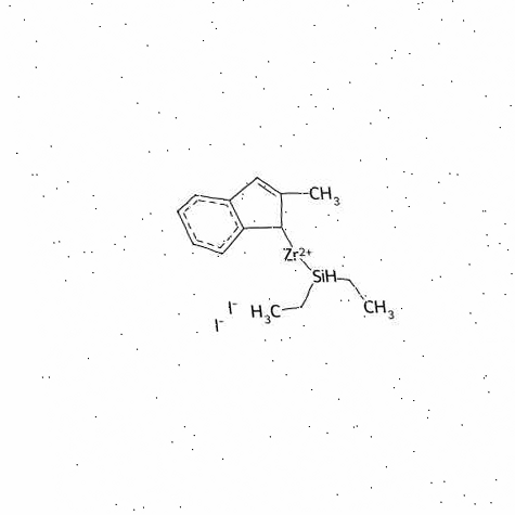 CC[SiH](CC)[Zr+2][CH]1C(C)=Cc2ccccc21.[I-].[I-]